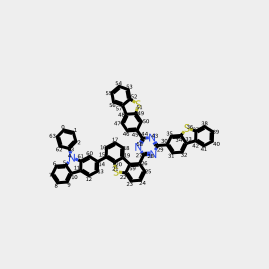 c1ccc(-n2c3ccccc3c3ccc(-c4cccc5c4sc4cccc(-c6nc(-c7ccc8c(c7)sc7ccccc78)nc(-c7ccc8c(c7)sc7ccccc78)n6)c45)cc32)cc1